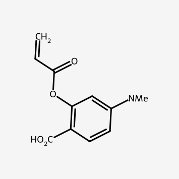 C=CC(=O)Oc1cc(NC)ccc1C(=O)O